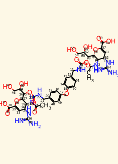 CC(=O)N[C@H]1[C@H]([C@H](OC(=O)NCc2ccc(Oc3ccc(CNC(=O)O[C@@H]([C@@H]4OC(C(=O)O)=C[C@H](NC(=N)N)[C@H]4NC(C)=O)[C@@H](O)CO)cc3)cc2)[C@H](O)CO)OC(C(=O)O)=C[C@@H]1NC(=N)N